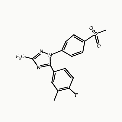 Cc1cc(-c2nc(C(F)(F)F)nn2-c2ccc(S(C)(=O)=O)cc2)ccc1F